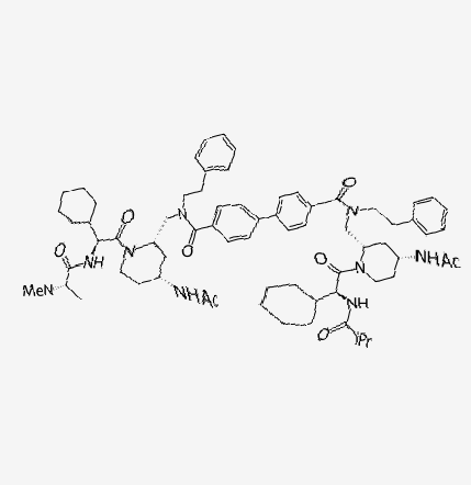 CN[C@@H](C)C(=O)N[C@H](C(=O)N1CC[C@@H](NC(C)=O)C[C@H]1CN(CCc1ccccc1)C(=O)c1ccc(-c2ccc(C(=O)N(CCc3ccccc3)C[C@@H]3C[C@H](NC(C)=O)CCN3C(=O)[C@@H](NC(=O)C(C)C)C3CCCCC3)cc2)cc1)C1CCCCC1